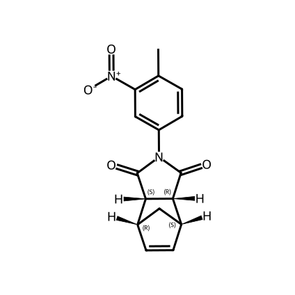 Cc1ccc(N2C(=O)[C@@H]3[C@H](C2=O)[C@@H]2C=C[C@H]3C2)cc1[N+](=O)[O-]